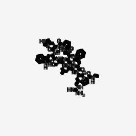 CCNC(=O)[C@@H]1CCCN1C(=O)[C@H](CCCNC(=N)N)NC(=O)[C@H](Cc1c[nH]c2ccccc12)NC(=O)[C@@H](CC(C)C)NC(=O)[C@H](Cc1c[nH]cn1)NC(=O)[C@H](CO)NC(=O)[C@H](Cc1c[nH]c2ccccc12)NC(=O)[C@H](Cc1c[nH]cn1)NC(=O)[C@@H]1CCC(=O)N1